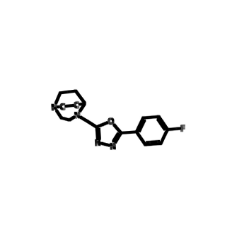 Fc1ccc(-c2nnc(N3CCN4CCC3CC4)o2)cc1